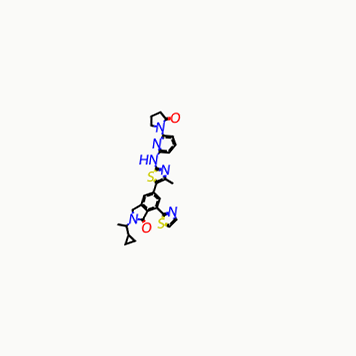 Cc1nc(Nc2cccc(N3CCCC3=O)n2)sc1-c1cc2c(c(-c3nccs3)c1)C(=O)N(C(C)C1CC1)C2